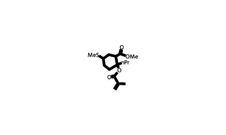 C=C(C)C(=O)OC1(CCC)CCC(SC)CC1C(=O)OC